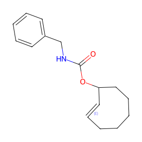 O=C(NCc1ccccc1)OC1/C=C/CCCCC1